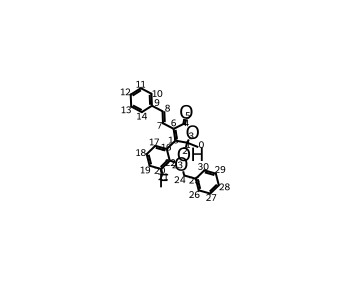 CC1(O)OC(=O)C(C=Cc2ccccc2)=C1c1cccc(F)c1OCc1ccccc1